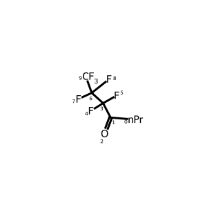 CCCC(=O)C(F)(F)C(F)(F)C(F)(F)F